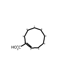 O=C(O)/C1=C/CCCCCCC1